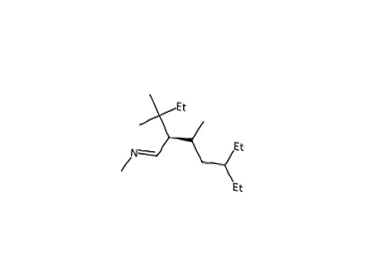 CCC(CC)CC(C)[C@@H](/C=N/C)C(C)(C)CC